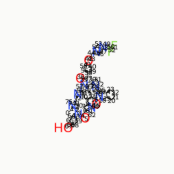 Cc1c(N(C(=O)c2cc(-c3cc4c(cc3C(=O)N3Cc5ccccc5C[C@H]3CN3CCCC3)CN(C(=O)Cc3ccc(OCCN5CCN(CC(F)F)CC5)cc3)CC4)n(C)c2C)c2ccc(O)cc2)cc(C#N)n1C